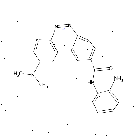 CN(C)c1ccc(/N=N\c2ccc(C(=O)Nc3ccccc3N)cc2)cc1